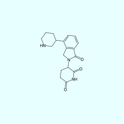 O=C1CCC(N2Cc3c(cccc3C3CCCNC3)C2=O)C(=O)N1